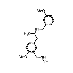 COc1cccc(CNC(C)Cc2ccc(OC)c(CNC(C)C)c2)c1